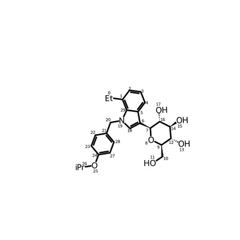 CCc1cccc2c([C@@H]3O[C@H](CO)[C@@H](O)[C@H](O)[C@H]3O)cn(Cc3ccc(OC(C)C)cc3)c12